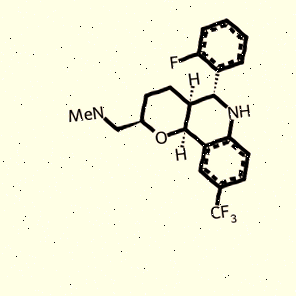 CNC[C@H]1CC[C@@H]2[C@H](O1)c1cc(C(F)(F)F)ccc1N[C@H]2c1ccccc1F